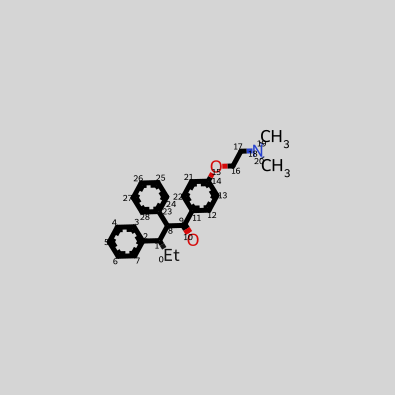 CCC(c1ccccc1)C(C(=O)c1ccc(OCCN(C)C)cc1)c1ccccc1